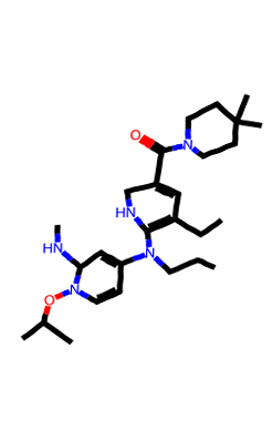 CCCN(C1=CC(NC)N(OC(C)C)C=C1)C1=C(CC)C=C(C(=O)N2CCC(C)(C)CC2)CN1